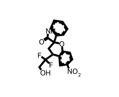 NC(=O)C1(c2ccccc2)C[C](C(F)(F)CO)c2cc([N+](=O)[O-])ccc2O1